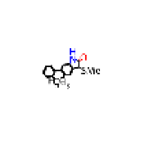 CSC1C(=O)Nc2cc(-c3ccccc3C)c(C)cc21